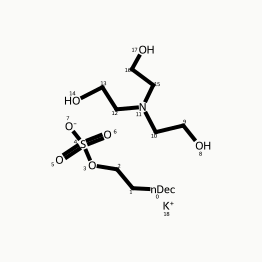 CCCCCCCCCCCCOS(=O)(=O)[O-].OCCN(CCO)CCO.[K+]